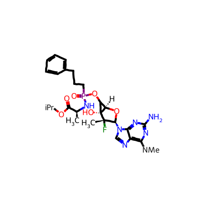 CNc1nc(N)nc2c1ncn2[C@@H]1O[C@@H]2C(OP(=O)(CCCc3ccccc3)N[C@@H](C)C(=O)OC(C)C)[C@]2(O)[C@@]1(C)F